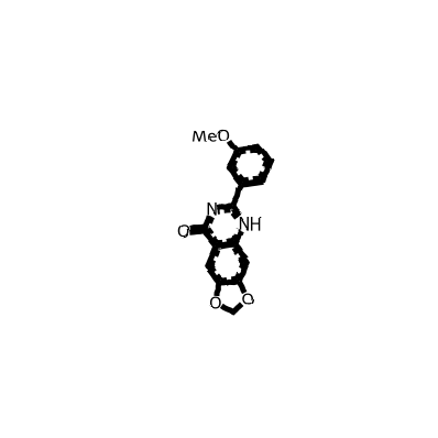 COc1cccc(-c2nc(=O)c3cc4c(cc3[nH]2)OCO4)c1